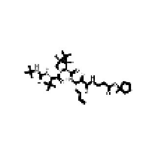 C=CCC[C@H](NC(=O)[C@@H]1[C@@H]2[C@H](CN1C(=O)[C@@H](NC(=O)NC(C)(C)C)C(C)(C)C)C2(C)C)C(=O)C(=O)NCCC(=O)OC1(C)CCCC1